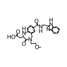 COCCN1Cc2cc(C(=O)NCc3nc4ccccc4[nH]3)ccc2NC(CC(=O)O)C1=O